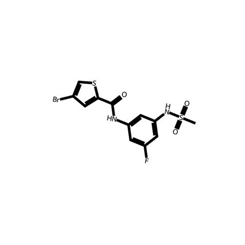 CS(=O)(=O)Nc1cc(F)cc(NC(=O)c2cc(Br)cs2)c1